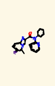 Cc1c(I)ccc2nc(C(=O)N(c3ccccc3)c3ccccn3)cn12